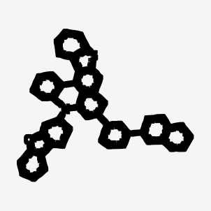 c1cc(-c2cccc(N(c3ccc4c(c3)oc3ccccc34)c3ccccc3-c3cccc4sc5ccccc5c34)c2)cc(-c2ccc3ccccc3c2)c1